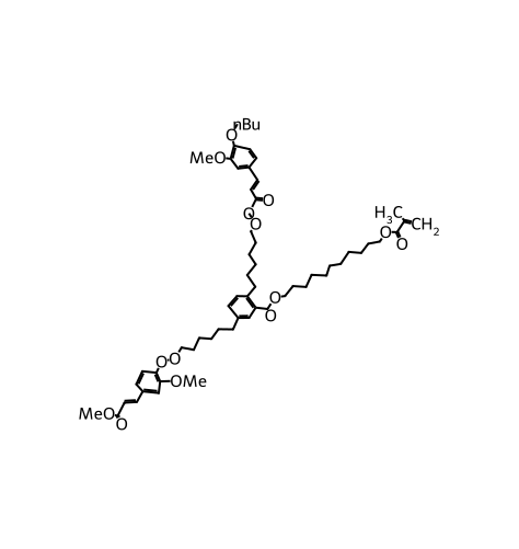 C=C(C)C(=O)OCCCCCCCCCCCOC(=O)c1cc(CCCCCCOOc2ccc(C=CC(=O)OC)cc2OC)ccc1CCCCCCOOC(=O)C=Cc1ccc(OCCCC)c(OC)c1